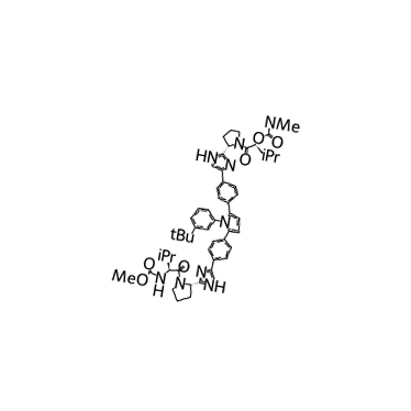 CNC(=O)O[C@H](C(=O)N1CCC[C@H]1c1nc(-c2ccc(-c3ccc(-c4ccc(-c5c[nH]c([C@@H]6CCCN6C(=O)[C@@H](NC(=O)OC)C(C)C)n5)cc4)n3-c3cccc(C(C)(C)C)c3)cc2)c[nH]1)C(C)C